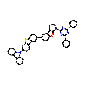 c1ccc(-c2nc(-c3ccccc3)nc(-c3cccc4c3oc3ccc(-c5ccc6sc7cc(-n8c9ccccc9c9ccccc98)ccc7c6c5)cc34)n2)cc1